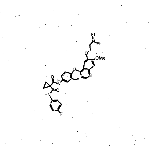 CCN(CC)CCOc1cc2c(Oc3ccc(NC(=O)C4(C(=O)Nc5ccc(F)cc5)CC4)cc3F)ccnc2cc1OC